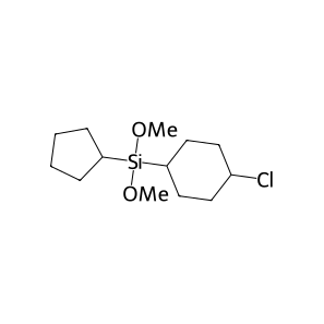 CO[Si](OC)(C1CCCC1)C1CCC(Cl)CC1